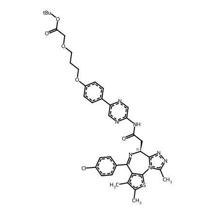 Cc1sc2c(c1C)C(c1ccc(Cl)cc1)=N[C@@H](CC(=O)Nc1cnc(-c3ccc(OCCCOCC(=O)OC(C)(C)C)cc3)cn1)c1nnc(C)n1-2